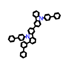 c1ccc(-c2ccc(-n3c4ccccc4c4cc(-c5ccc6c(c5)c5cccc(-c7cccc(-c8ccccc8)c7)c5n6-c5ccc(-c6ccccc6)cc5)ccc43)cc2)cc1